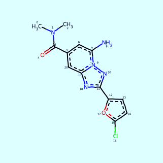 CN(C)C(=O)c1cc(N)n2nc(-c3ccc(Cl)o3)nc2c1